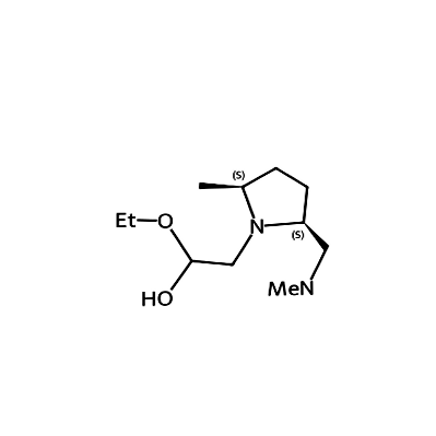 CCOC(O)CN1[C@H](CNC)CC[C@@H]1C